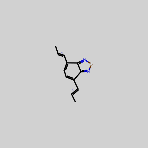 C/C=C/c1ccc(/C=C/C)c2nsnc12